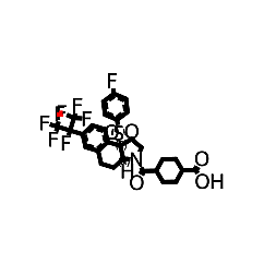 O=C(O)C1CCC(C(=O)N2CC[C@@]3(S(=O)(=O)c4ccc(F)cc4)c4ccc(C(F)(C(F)(F)F)C(F)(F)F)cc4CC[C@@H]23)CC1